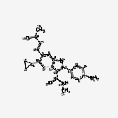 Bc1ccc(-n2nc3cc(/C=C/C(C)=O)c(C4CC4)cc3c2C(=O)NC)cc1